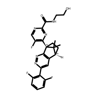 CC1(C)[C@H]2CC[C@@]1(c1nc(C(=O)NCCO)ncc1F)c1nnc(-c3c(F)cccc3F)cc12